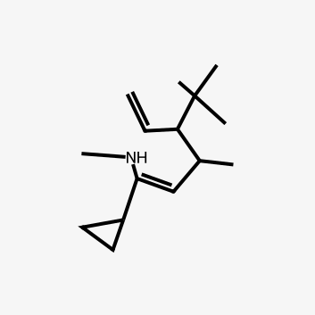 C=CC(C(C)/C=C(\NC)C1CC1)C(C)(C)C